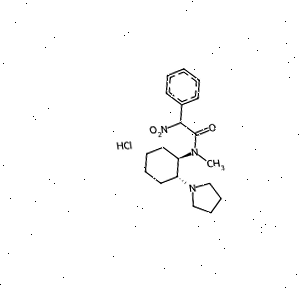 CN(C(=O)C(c1ccccc1)[N+](=O)[O-])[C@@H]1CCCC[C@H]1N1CCCC1.Cl